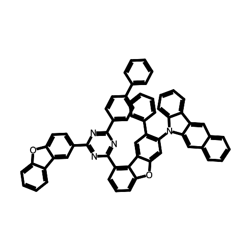 c1ccc(-c2ccc(-c3nc(-c4ccc5oc6ccccc6c5c4)nc(-c4cccc5oc6cc(-n7c8ccccc8c8cc9ccccc9cc87)c(-c7ccccc7)cc6c45)n3)cc2)cc1